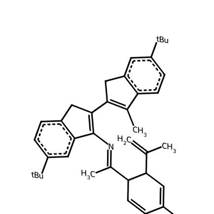 C=C(C)C1C=C(C(C)(C)C)C=CC1/C(C)=N/C1=C(C2=C(C)c3ccc(C(C)(C)C)cc3C2)Cc2ccc(C(C)(C)C)cc21